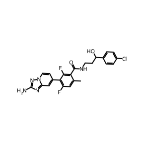 Cc1cc(F)c(-c2ccn3nc(N)nc3c2)c(F)c1C(=O)NCCC(O)c1ccc(Cl)cc1